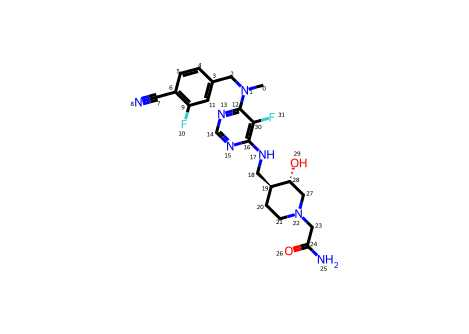 CN(Cc1ccc(C#N)c(F)c1)c1ncnc(NC[C@@H]2CCN(CC(N)=O)C[C@H]2O)c1F